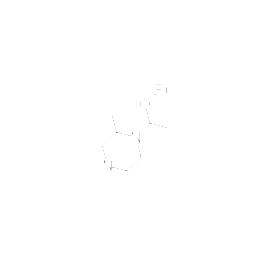 CCOC(C)N1CCN(C)CC1C